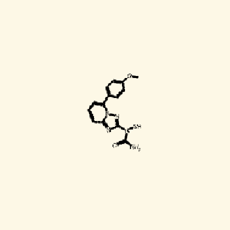 COc1ccc(-c2cccc3nc(N(S)C(N)=O)nn23)cc1